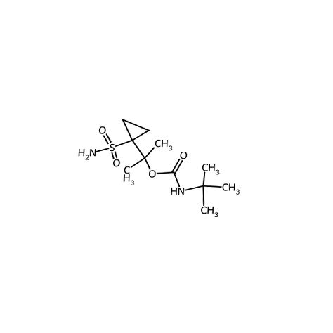 CC(C)(C)NC(=O)OC(C)(C)C1(S(N)(=O)=O)CC1